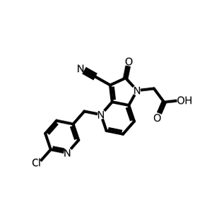 N#Cc1c2n(Cc3ccc(Cl)nc3)cccc-2n(CC(=O)O)c1=O